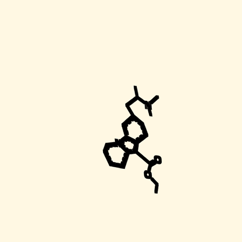 CCOC(=O)c1c2ccc(CC(C)N(C)C)cc2n2ccccc12